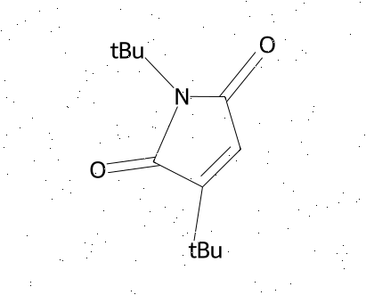 CC(C)(C)C1=CC(=O)N(C(C)(C)C)C1=O